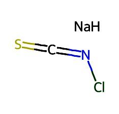 S=C=NCl.[NaH]